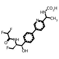 CC(NC(=O)O)c1ccc(-c2ccc([C@@H](O)[C@@H](CF)NC(=O)C(F)F)cc2)cn1